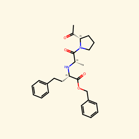 CC(=O)[C@@H]1CCCN1C(=O)[C@H](C)N[C@@H](CCc1ccccc1)C(=O)OCc1ccccc1